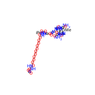 CCn1nc(C)cc1C(=O)/N=c1\[nH]c2cc(C(N)=O)cc(OC)c2n1C/C=C/Cn1/c(=N/C(=O)c2cc(C)nn2CC)[nH]c2cc(C(N)=O)cc(OCCCN3CCN(C(=O)OCc4ccc(NC(=O)[C@H](C)NC(=O)[C@@H](NC(=O)CCOCCOCCOCCOCCOCCOCCOCCOCCOCCOCCC(=O)NCCNC(=O)CN5C(=O)C=CC5=O)C(C)C)cc4)CC3)c21